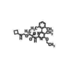 CCOc1nc(NS(=O)(=O)C(C)OCNC2CCC2)nc(-c2c(C)cccc2C)c1C